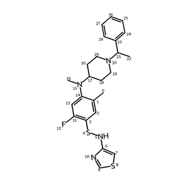 Cc1cc(SNc2cscn2)c(F)cc1N(C)C1CCN(C(C)c2ccccc2)CC1